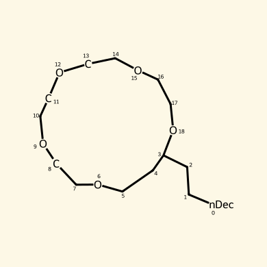 CCCCCCCCCCCCC1CCOCCOCCOCCOCCO1